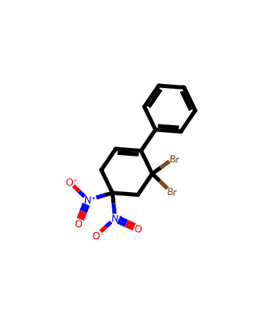 O=[N+]([O-])C1([N+](=O)[O-])CC=C(c2ccccc2)C(Br)(Br)C1